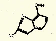 COc1cccc2cc(C#N)cnc12